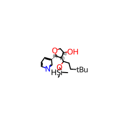 C[SiH](C)OC(CCC(C)(C)C)[C@@H]1[C@H](O)CO[C@H]1c1cccnc1